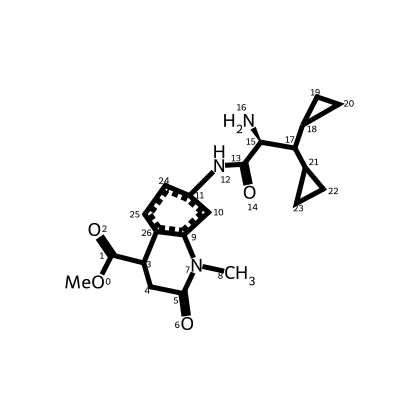 COC(=O)C1CC(=O)N(C)c2cc(NC(=O)[C@@H](N)C(C3CC3)C3CC3)ccc21